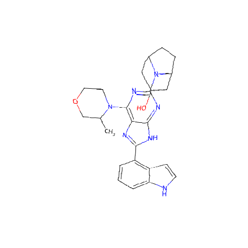 CC1COCCN1c1nc(N2C3CCC2CC(O)C3)nc2[nH]c(-c3cccc4[nH]ccc34)nc12